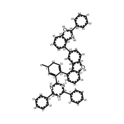 CC1C=C(c2nc(-c3ccccc3)nc(-c3ccccc3)n2)C(c2cccc3oc4ccc(-c5cccc6oc(-c7ccccc7)nc56)cc4c23)=CC1